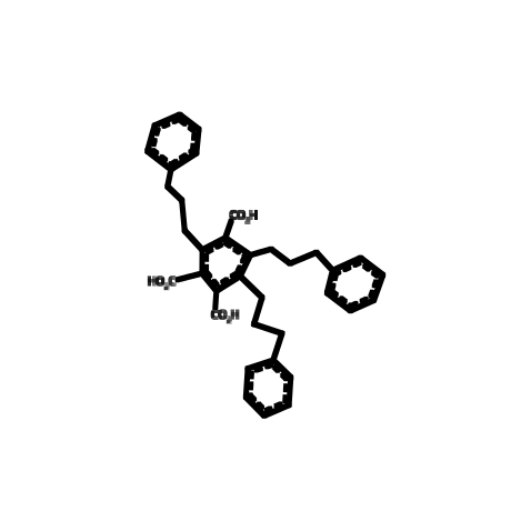 O=C(O)c1c(CCCc2ccccc2)c(CCCc2ccccc2)c(C(=O)O)c(C(=O)O)c1CCCc1ccccc1